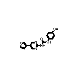 COc1ccc(NC(=O)Nc2ncc(-c3ccsc3)cn2)cc1